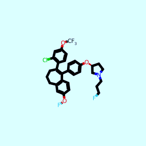 FCCCN1CC[C@H](Oc2ccc(C3=C(c4ccc(OC(F)(F)F)cc4Cl)CCCc4cc(OF)ccc43)cc2)C1